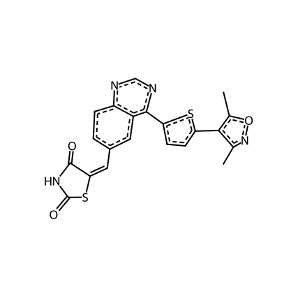 Cc1noc(C)c1-c1ccc(-c2ncnc3ccc(C=C4SC(=O)NC4=O)cc23)s1